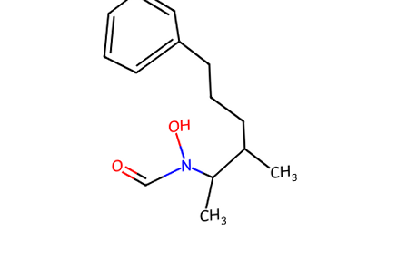 CC(CCCc1ccccc1)C(C)N(O)C=O